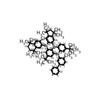 Cc1ccc(-c2ccccc2)cc1N1c2cc(C(C)(C)C)ccc2B2c3cc4c(cc3N(c3cc5c(cc3C)C(C)(C)CCC5(C)C)c3cc(C(C)(C)C)cc1c32)C(C)(C)CC4(C)C